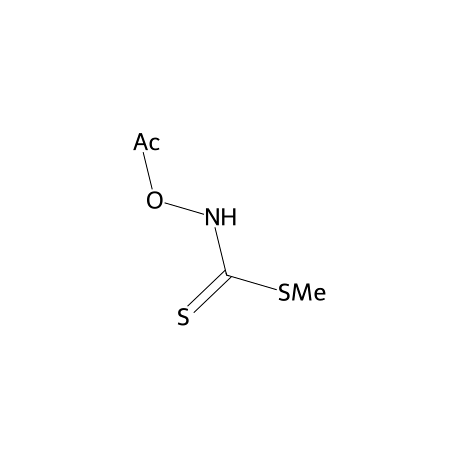 CSC(=S)NOC(C)=O